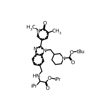 Cc1cc(-c2nc3ccc(CNC(C(=O)OC(C)C)C(C)C)cc3n2CC2CCCN(C(=O)OC(C)(C)C)C2)cn(C)c1=O